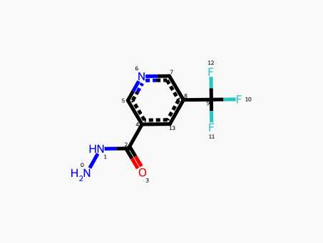 NNC(=O)c1cncc(C(F)(F)F)c1